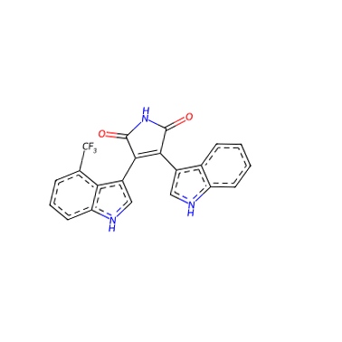 O=C1NC(=O)C(c2c[nH]c3cccc(C(F)(F)F)c23)=C1c1c[nH]c2ccccc12